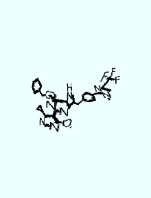 COc1ncnc(C2CC2)c1-c1nc(OCc2ccccc2)c2[nH]cc(Cc3ccc(-c4nc(C(F)(F)F)cn4C)cc3)c2n1